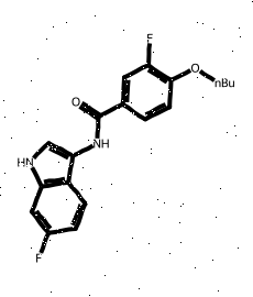 CCCCOc1ccc(C(=O)Nc2c[nH]c3cc(F)ccc23)cc1F